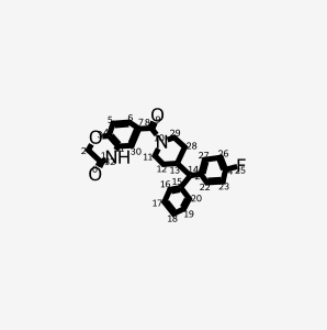 O=C1COc2ccc(C(=O)N3CCC(C(c4ccccc4)c4ccc(F)cc4)CC3)cc2N1